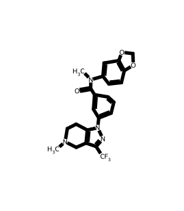 CN1CCc2c(c(C(F)(F)F)nn2-c2cccc(C(=O)N(C)c3ccc4c(c3)OCO4)c2)C1